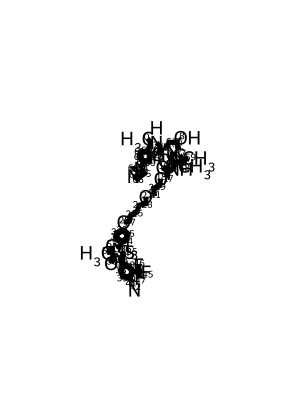 CC(NC(=O)[C@@H]1C[C@@H](O)CN1C(=O)C(NC(=O)COCCCOCCCCCOc1ccc(N2C(=S)N(c3ccc(C#N)c(C(F)(F)F)c3)C(=O)C2(C)C)cc1)C(C)(C)C)c1ccc(-n2ccnc2)cc1